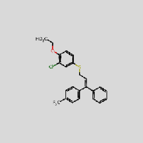 O=C(O)COc1ccc(SC/C=C(/c2ccccc2)c2ccc(C(F)(F)F)cc2)cc1Cl